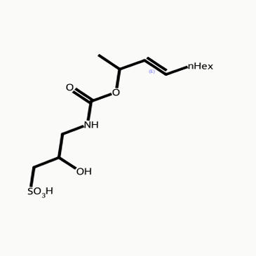 CCCCCC/C=C/C(C)OC(=O)NCC(O)CS(=O)(=O)O